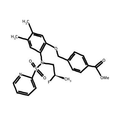 COC(=O)c1ccc(COc2cc(C)c(C)cc2N(C[C@@H](C)F)S(=O)(=O)c2ccccn2)cc1